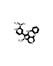 CC(=O)N(N)C1C=C(c2c(Nc3ccccc3)c3c(n2N)COCC3=O)C=CN1